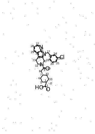 C[C@]1(C(=O)O)CC[C@@H](CC(=O)N2CCc3c(n(Cc4cccc(Cl)c4)c4ncccc34)C2)CC1